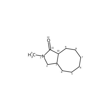 CN1CC2CCCCCCC2C1=O